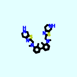 Cc1c(-c2cccc(N(C)Cc3nc4c(s3)CNCC4)c2C)cccc1N(C)Cc1nc2c(s1)CNCC2